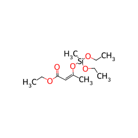 CCOC(=O)C=C(C)O[Si](C)(OCC)OCC